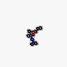 c1ccc(N(c2ccc(-c3ccc(-c4ccc5ccccc5c4)cc3)cc2)c2ccc(-n3c4ccccc4c4ccccc43)cc2)c(-c2cc3ccccc3c3ccccc23)c1